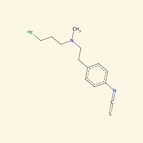 CN(CCC[18F])CCc1ccc(N=C=S)cc1